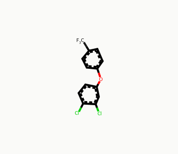 FC(F)(F)c1ccc(Oc2ccc(Cl)c(Cl)c2)cc1